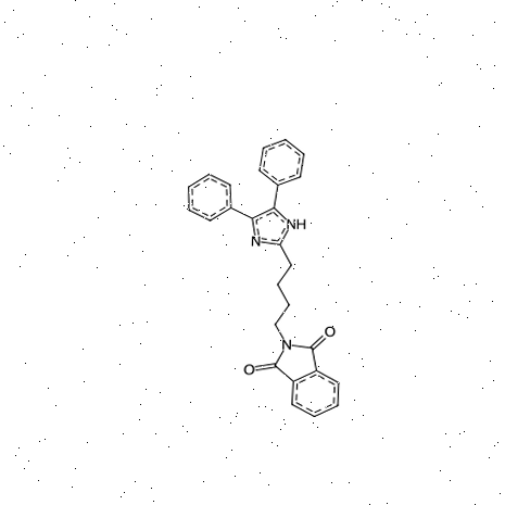 O=C1c2ccccc2C(=O)N1CCCCc1nc(-c2ccccc2)c(-c2ccccc2)[nH]1